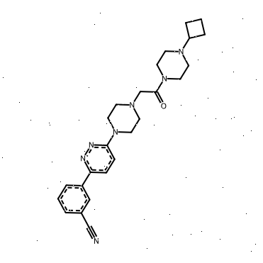 N#Cc1cccc(-c2ccc(N3CCN(CC(=O)N4CCN(C5CCC5)CC4)CC3)nn2)c1